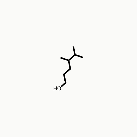 CC(C)C(C)CCCO